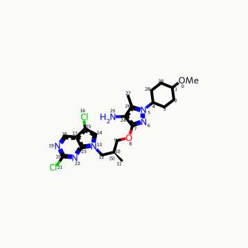 COC1CCC(n2nc(OC[C@@H](C)Cn3cc(Cl)c4cnc(Cl)nc43)c(N)c2C)CC1